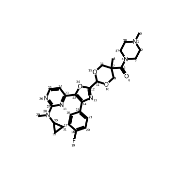 CN1CCN(C(=O)C2(C)COC(c3nc(-c4ccc(F)cc4)c(-c4ccnc(N(C)C5CC5)n4)o3)OC2)CC1